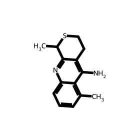 Cc1cccc2nc3c(c(N)c12)CCSC3C